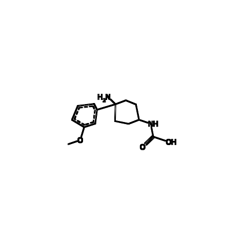 COc1cccc(C2(N)CCC(NC(=O)O)CC2)c1